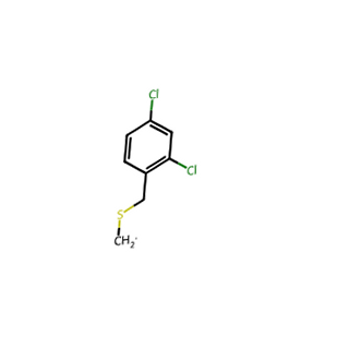 [CH2]SCc1ccc(Cl)cc1Cl